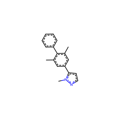 Cc1cc(-c2ccnn2C)cc(C)c1-c1ccccc1